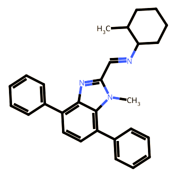 CC1CCCCC1/N=C/c1nc2c(-c3ccccc3)ccc(-c3ccccc3)c2n1C